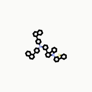 c1cc(-c2cccc3c2c2ccccc2n3-c2cccc3c2sc2ccccc23)cc(N(c2ccc(-c3cccc4ccccc34)cc2)c2ccc(-c3cccc4ccccc34)cc2)c1